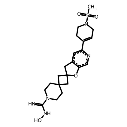 CS(=O)(=O)N1CC=C(c2cc3c(cn2)OC2(C3)CC3(CCN(C(=N)NO)CC3)C2)CC1